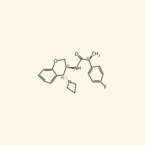 C[C@H](C(=O)N[C@@H]1COc2ccccc2[C@H]1N1CCC1)c1ccc(F)cc1